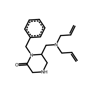 C=CCN(CC=C)CC1CNCC(=O)N1Cc1ccccc1